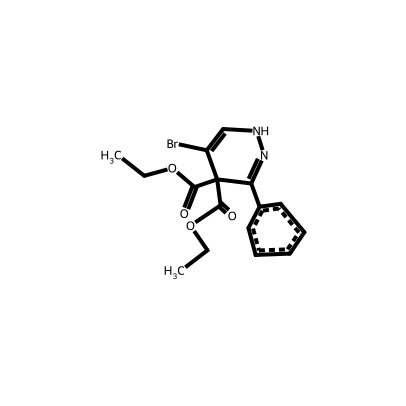 CCOC(=O)C1(C(=O)OCC)C(Br)=CNN=C1c1ccccc1